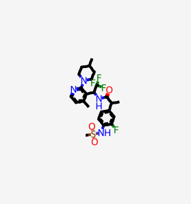 Cc1ccnc(N2CCC(C)CC2)c1C(NC(=O)C(C)c1ccc(NS(C)(=O)=O)c(F)c1)C(F)(F)F